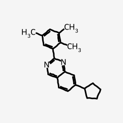 Cc1cc(C)c(C)c(-c2ncc3ccc(C4CCCC4)cc3n2)c1